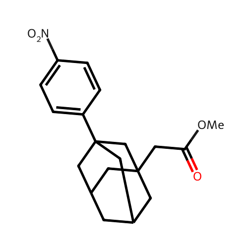 COC(=O)CC12CC3CC(C1)CC(c1ccc([N+](=O)[O-])cc1)(C3)C2